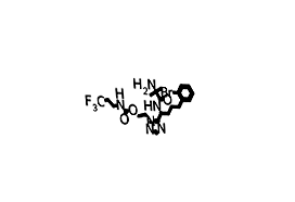 CC(C)(N)C(=O)NC(CCCc1ccccc1Br)c1ncnn1CCOC(=O)NCCC(F)(F)F